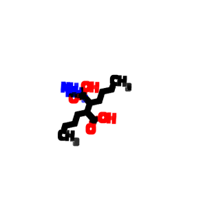 CCCCC(C(=O)O)C(CCCC)C(=O)O.N.N